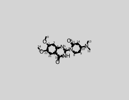 COc1cc2nc(-n3ccc(N(C)C)cc3=O)[nH]c(=O)c2cc1OC